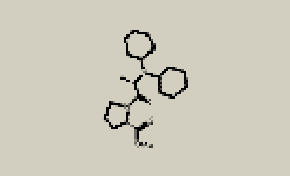 COC(=O)[C@@H]1CCCN1C(=O)[C@@H](C)N(C1CCCCC1)C1CCCCC1